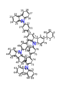 C1=CCC(C2=CC3c4cc(-c5ccc(-n6c7ccccc7c7ccccc76)cc5)cc(-c5ccc(-n6c7ccccc7c7ccccc76)cc5)c4N(c4ccc(-c5ccc(-n6c7ccccc7c7ccccc76)cc5)cc4)C3C=C2)C=C1